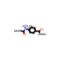 CNC(=O)c1ccc(N(C(=O)O)C(=O)NC)cc1